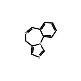 C1=NCc2cncn2-c2ccccc21